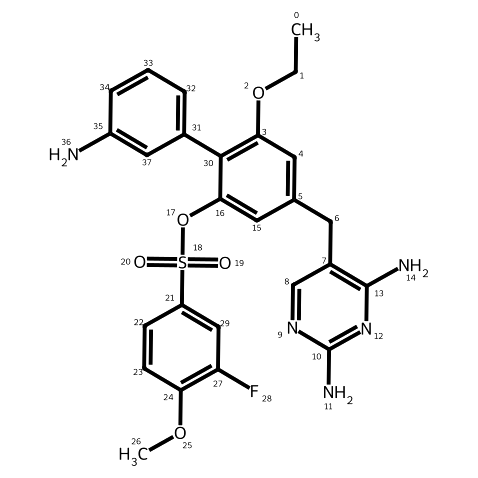 CCOc1cc(Cc2cnc(N)nc2N)cc(OS(=O)(=O)c2ccc(OC)c(F)c2)c1-c1cccc(N)c1